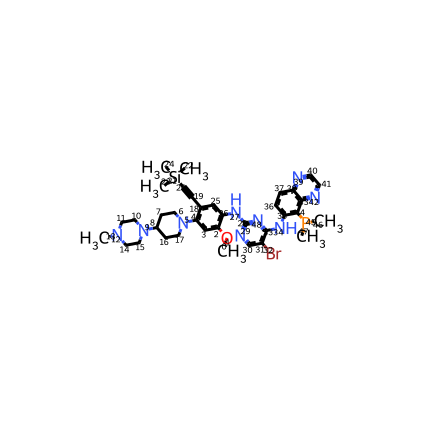 COc1cc(N2CCC(N3CCN(C)CC3)CC2)c(C#C[Si](C)(C)C)cc1Nc1ncc(Br)c(Nc2ccc3nccnc3c2P(C)C)n1